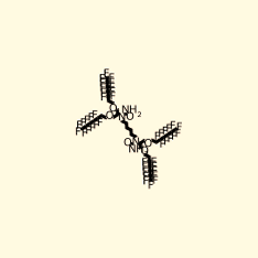 NC(=O)N(CCCCCCN(C(N)=O)C(COCCC(F)(F)C(F)(F)C(F)(F)C(F)(F)C(F)(F)F)COCCC(F)(F)C(F)(F)C(F)(F)C(F)(F)C(F)(F)F)C(COCCC(F)(F)C(F)(F)C(F)(F)C(F)(F)C(F)(F)F)COCCC(F)(F)C(F)(F)C(F)(F)C(F)(F)C(F)(F)F